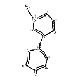 [O-][n+]1cccc(-c2ccncc2)c1